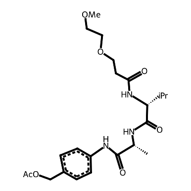 COCCOCCC(=O)N[C@@H](C(=O)N[C@H](C)C(=O)Nc1ccc(COC(C)=O)cc1)C(C)C